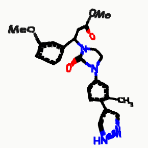 COC(=O)CC(c1cccc(OC)c1)N1CCN(c2ccc(-c3cn[nH]c3)c(C)c2)C1=O